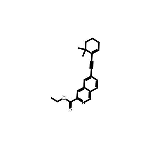 CCOC(=O)c1cc2cc(C#CC3=CCCCC3(C)C)ccc2cn1